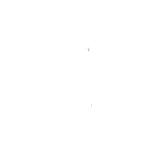 CNC1CCc2ccc(I)cc21